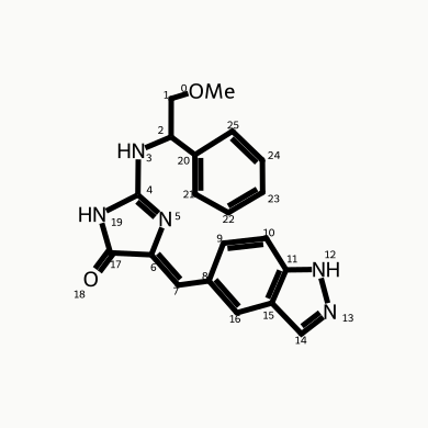 COCC(NC1=N/C(=C\c2ccc3[nH]ncc3c2)C(=O)N1)c1ccccc1